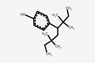 CCC(C)(C)CC(c1ccc(O)cc1)C(C)(C)CC